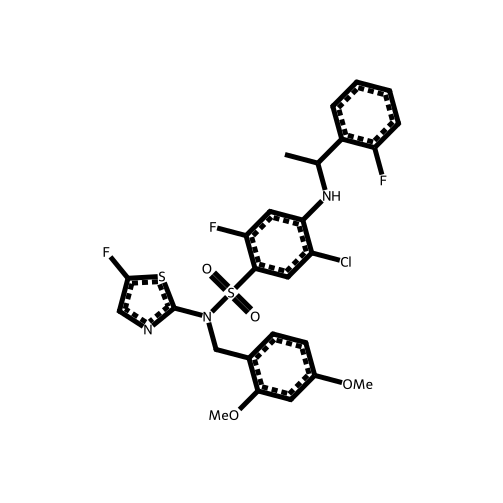 COc1ccc(CN(c2ncc(F)s2)S(=O)(=O)c2cc(Cl)c(NC(C)c3ccccc3F)cc2F)c(OC)c1